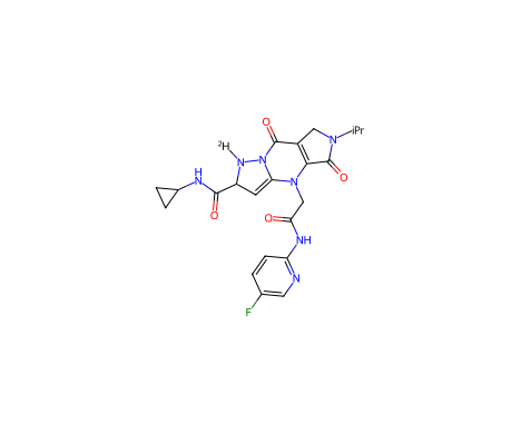 [2H]N1C(C(=O)NC2CC2)C=C2N(CC(=O)Nc3ccc(F)cn3)C3=C(CN(C(C)C)C3=O)C(=O)N21